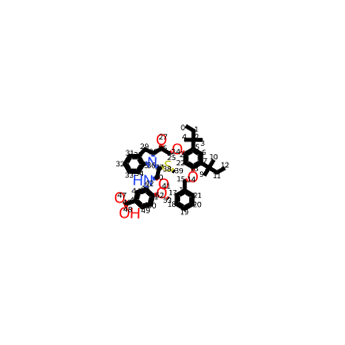 CCC(C)(C)c1cc(C(C)(C)CC)c(OCc2ccccc2)cc1OCC(=O)C1Cc2ccccc2N1C(SC)C(=O)Nc1cc(C(=O)O)ccc1OC